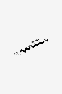 CCCCCCCCCCCCNC[C@@H](O)C[C@H](O)CO